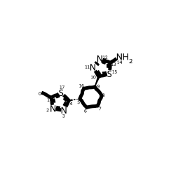 Cc1nnc([C@H]2CCC[C@H](c3nnc(N)s3)C2)s1